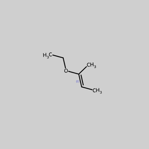 C/C=C(\C)OCC